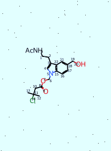 CC(=O)NCCc1cn(COC(=O)CC(C)(C)Cl)c2ccc(CO)cc12